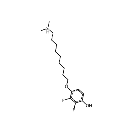 C[SiH](C)CCCCCCCCCOc1ccc(O)c(F)c1F